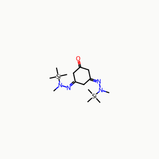 CN(N=C1CC(=O)CC(=NN(C)[Si](C)(C)C)C1)[Si](C)(C)C